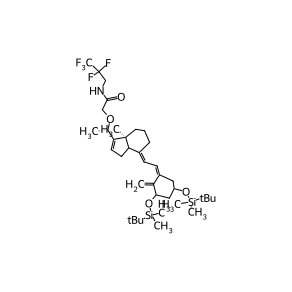 C=C1/C(=C\C=C2/CCC[C@]3(C)C([C@H](C)OCC(=O)NCC(F)(F)C(F)(F)F)=CCC23)CC(O[Si](C)(C)C(C)(C)C)CC1O[Si](C)(C)C(C)(C)C